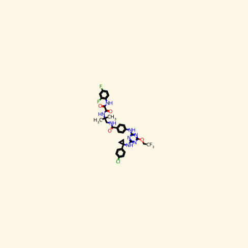 CC(C)(CNC(=O)c1ccc(Nc2nc(NC3(c4ccc(Cl)cc4)CC3)nc(OCC(F)(F)F)n2)cc1)NC(=O)C(=O)Nc1ccc(F)cc1F